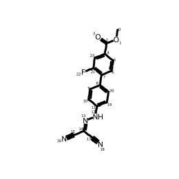 COC(=O)c1ccc(-c2ccc(NN=C(C#N)C#N)cc2)c(F)c1